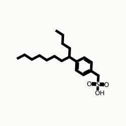 CCCCCCCC(CCCC)c1ccc(CS(=O)(=O)O)cc1